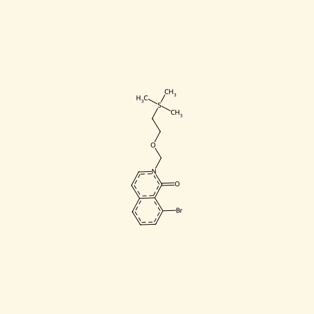 CS(C)(C)CCOCn1ccc2cccc(Br)c2c1=O